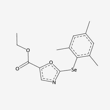 CCOC(=O)c1cnc([Se]c2c(C)cc(C)cc2C)o1